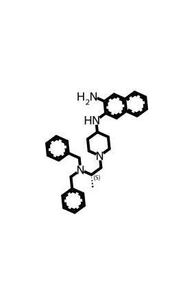 C[C@@H](CN1CCC(Nc2cc3ccccc3cc2N)CC1)N(Cc1ccccc1)Cc1ccccc1